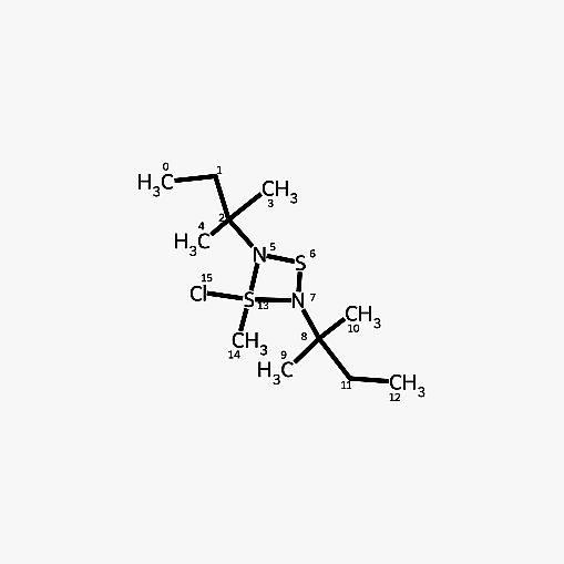 CCC(C)(C)N1SN(C(C)(C)CC)S1(C)Cl